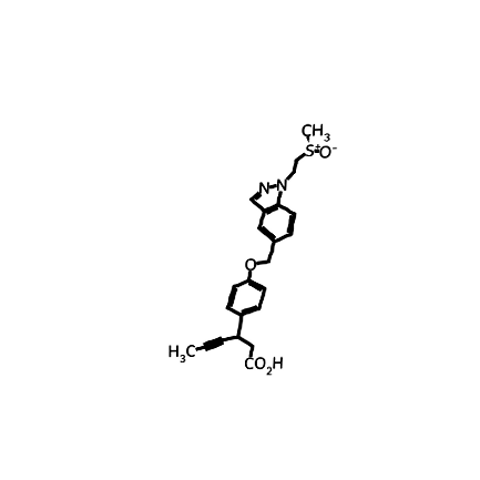 CC#CC(CC(=O)O)c1ccc(OCc2ccc3c(cnn3CC[S@+](C)[O-])c2)cc1